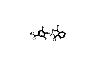 COC(=O)c1cc(F)c(/C=N/NC(=O)c2ccccc2C(F)F)c(F)c1